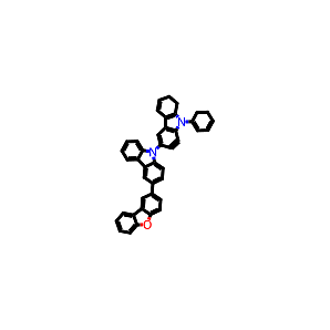 c1c(-n2c3ccccc3c3cc(-c4ccc5oc6ccccc6c5c4)ccc32)cc2c3c(n(C4=CC=CCC4)c2c#1)CCC=C3